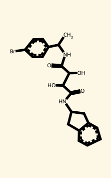 CC(NC(=O)C(O)C(O)C(=O)NC1Cc2ccccc2C1)c1ccc(Br)cc1